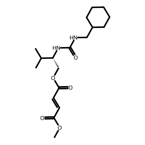 COC(=O)/C=C/C(=O)OC[C@@H](NC(=O)NCC1CCCCC1)C(C)C